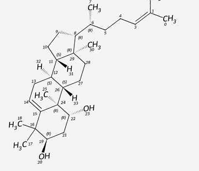 CC(C)=CCC[C@@H](C)[C@H]1CC[C@H]2[C@@H]3CC=C4C(C)(C)[C@H](O)C[C@@H](O)[C@]4(C)[C@H]3CC[C@]12C